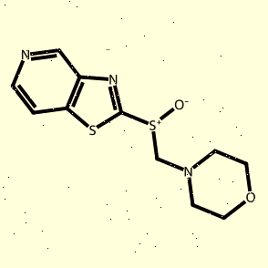 [O-][S+](CN1CCOCC1)c1nc2cnccc2s1